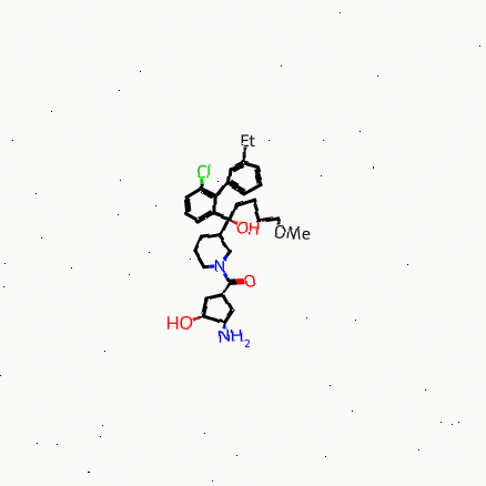 CCc1cccc(-c2c(Cl)cccc2[C@](O)(CCCCOC)C2CCCN(C(=O)[C@H]3C[C@@H](N)[C@@H](O)C3)C2)c1